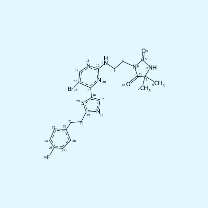 CC1(C)NC(=O)N(CCNc2ncc(Br)c(-c3cnc(CCc4ccc(F)cc4)s3)n2)C1=O